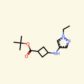 CCn1cc(NC2CC(C(=O)OC(C)(C)C)C2)cn1